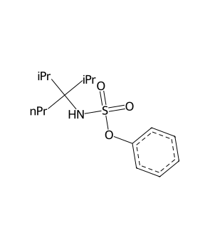 CCCC(NS(=O)(=O)Oc1ccccc1)(C(C)C)C(C)C